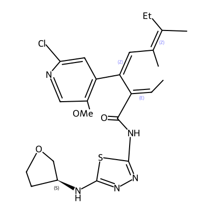 C\C=C(C(=O)Nc1nnc(N[C@H]2CCOC2)s1)/C(=C\C(C)=C(\C)CC)c1cc(Cl)ncc1OC